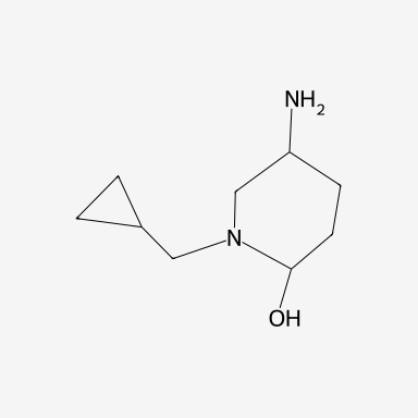 NC1CCC(O)N(CC2CC2)C1